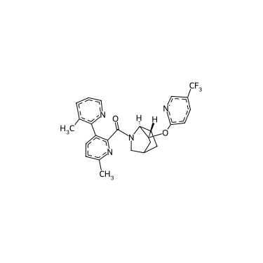 Cc1ccc(-c2ncccc2C)c(C(=O)N2CC3CC[C@H]2[C@H](Oc2ccc(C(F)(F)F)cn2)C3)n1